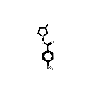 O=C(ON1CCC(F)C1)c1ccc([N+](=O)[O-])cc1